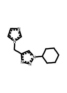 c1cn(Cc2cn(C3CCCCC3)nn2)cn1